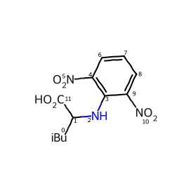 CCC(C)C(Nc1c([N+](=O)[O-])cccc1[N+](=O)[O-])C(=O)O